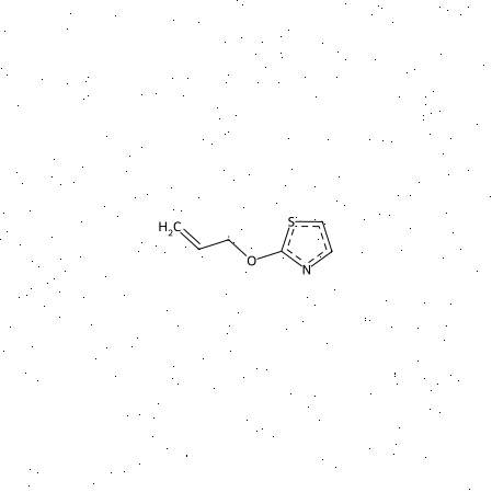 C=C[CH]Oc1nccs1